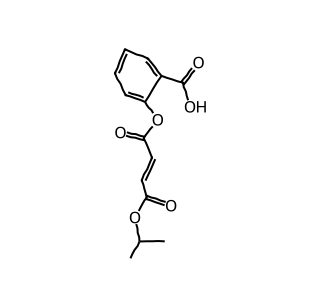 CC(C)OC(=O)/C=C/C(=O)Oc1ccccc1C(=O)O